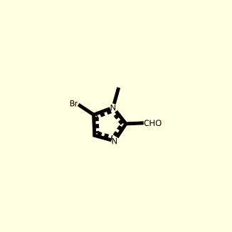 Cn1c(Br)cnc1C=O